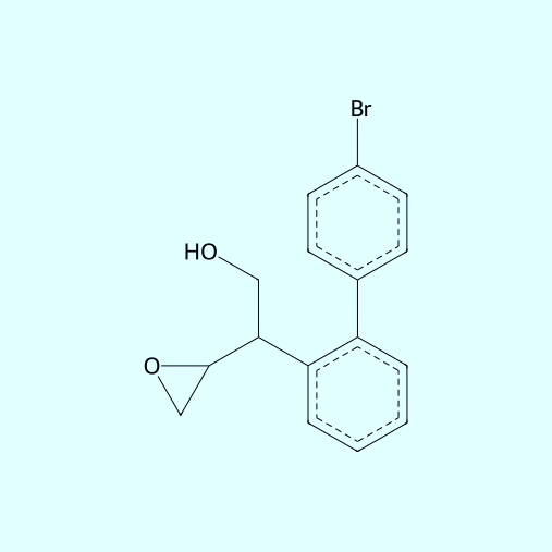 OCC(c1ccccc1-c1ccc(Br)cc1)C1CO1